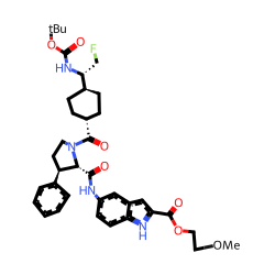 COCCOC(=O)c1cc2cc(NC(=O)[C@@H]3[C@@H](c4ccccc4)CCN3C(=O)[C@H]3CC[C@H]([C@@H](CF)NC(=O)OC(C)(C)C)CC3)ccc2[nH]1